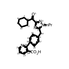 CCCn1nc(C(=O)C2CCCCC2)nc1Cc1ccc(-c2ncccc2C(=O)O)cc1